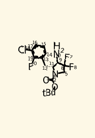 CC(C)(C)OC(=O)N1CC(F)(F)C(N)[C@H]1Cc1cccc(Cl)c1F